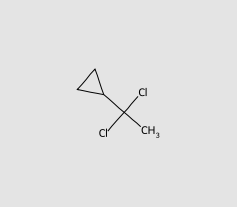 CC(Cl)(Cl)C1CC1